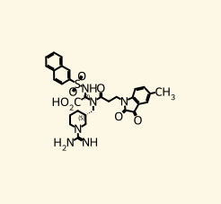 Cc1ccc2c(c1)C(=O)C(=O)N2CCC(=O)N(C[C@H]1CCCN(C(=N)N)C1)[C@H](NS(=O)(=O)c1ccc2ccccc2c1)C(=O)O